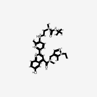 CCn1ncc(CN(C)C(=O)c2cc(-c3ccc(NCCN(C)C(=O)OC(C)(C)C)c(C)n3)nc3ccc(Cl)cc23)c1C